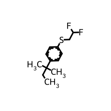 CCC(C)(C)c1ccc(SCC(F)F)cc1